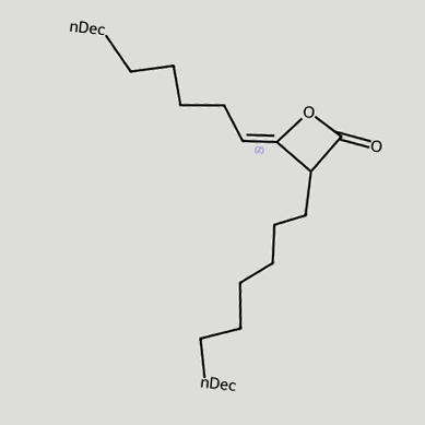 CCCCCCCCCCCCCC/C=C1\OC(=O)C1CCCCCCCCCCCCCCCC